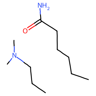 CCCCCC(N)=O.CCCN(C)C